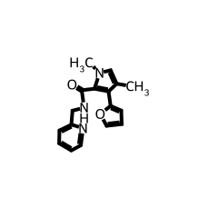 Cc1cn(C)c(C(=O)NCc2ccccn2)c1-c1ccco1